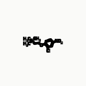 C[Si](C)(C)CCOc1ccc([N+](=O)[O-])cc1Cl